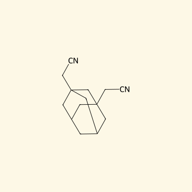 N#CCC12CC3CC(C1)CC(CC#N)(C3)C2